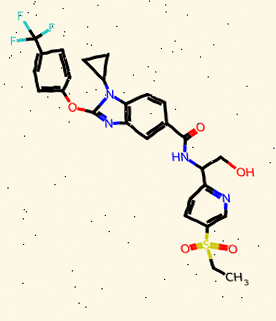 CCS(=O)(=O)c1ccc(C(CO)NC(=O)c2ccc3c(c2)nc(Oc2ccc(C(F)(F)F)cc2)n3C2CC2)nc1